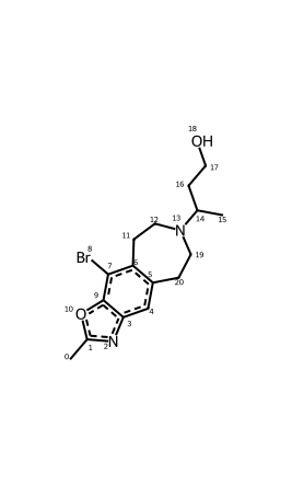 Cc1nc2cc3c(c(Br)c2o1)CCN(C(C)CCO)CC3